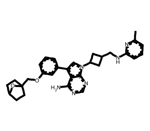 Cc1cccc(NCC2CC(n3cc(-c4cccc(OCC56CCC(CC5)O6)c4)c4c(N)ncnc43)C2)n1